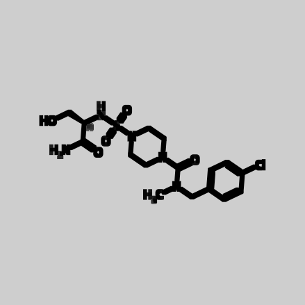 CN(Cc1ccc(Cl)cc1)C(=O)N1CCN(S(=O)(=O)N[C@H](CO)C(N)=O)CC1